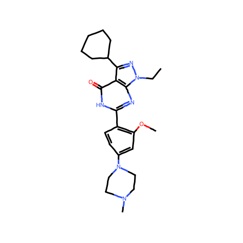 CCn1nc(C2CCCCC2)c2c(=O)[nH]c(-c3ccc(N4CCN(C)CC4)cc3OC)nc21